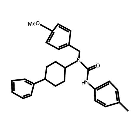 COc1ccc(CN(C(=O)Nc2ccc(C)cc2)C2CCC(c3ccccc3)CC2)cc1